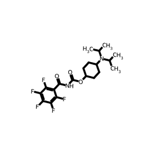 CC(C)N(C(C)C)C1CCC(OC(=O)NC(=O)c2c(F)c(F)c(F)c(F)c2F)CC1